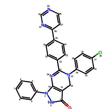 O=c1[nH]n(-c2ccccc2)c2c1CN(c1ccc(Cl)cc1)C(c1ccc(-c3ccncn3)cc1)=N2